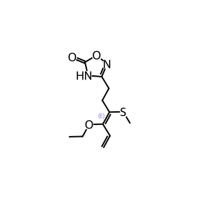 C=C/C(OCC)=C(/CCc1noc(=O)[nH]1)SC